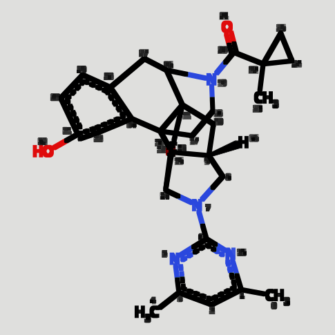 Cc1cc(C)nc(N2C[C@H]3CC45CCC2C3C42CCN(C(=O)C3(C)CC3)C5Cc3ccc(O)cc32)n1